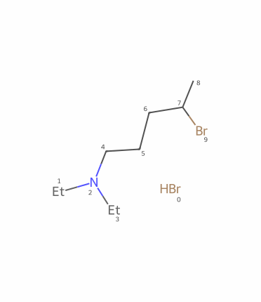 Br.CCN(CC)CCCC(C)Br